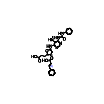 CNc1c(NC(=O)Nc2ccccc2)ncnc1N[C@H]1C[C@@H](O[C@@H](O)/C=C/c2ccccc2)[C@@H](CCC(=O)O)O1